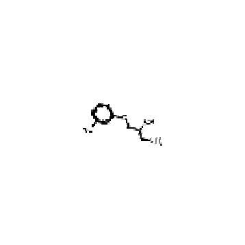 N#Cc1cccc(OC[C@@H](O)CN)c1